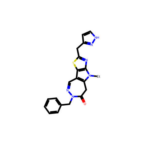 CCn1c2c(c3sc(Cc4cc[nH]n4)nc31)C=NN(Cc1ccccc1)C(=O)C2